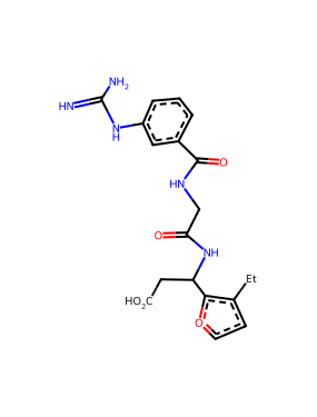 CCc1ccoc1C(CC(=O)O)NC(=O)CNC(=O)c1cccc(NC(=N)N)c1